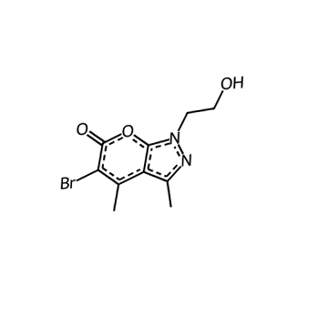 Cc1nn(CCO)c2oc(=O)c(Br)c(C)c12